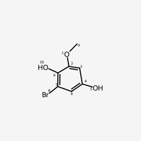 COc1cc(O)cc(Br)c1O